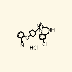 Cl.N#Cc1ccccc1OC1CCC(c2nnc3n2-c2ccc(Cl)cc2CNC3)CC1